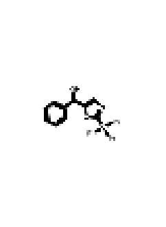 CC(C)[Si](c1ncc(C(O)c2ccccc2)o1)(C(C)C)C(C)C